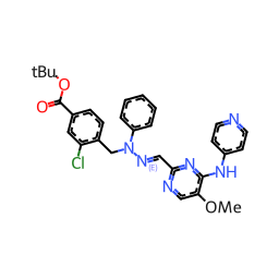 COc1cnc(/C=N/N(Cc2ccc(C(=O)OC(C)(C)C)cc2Cl)c2ccccc2)nc1Nc1ccncc1